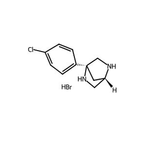 Br.Clc1ccc([C@@]23CN[C@H](CN2)C3)cc1